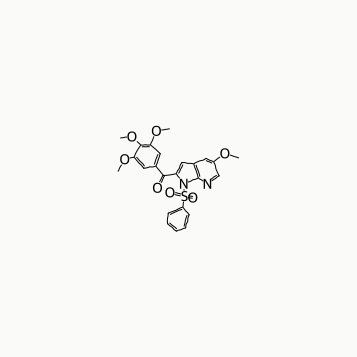 COc1cnc2c(c1)cc(C(=O)c1cc(OC)c(OC)c(OC)c1)n2S(=O)(=O)c1ccccc1